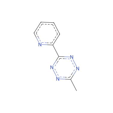 Cc1nnc(-c2ccccn2)nn1